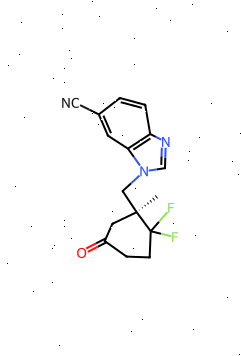 C[C@@]1(Cn2cnc3ccc(C#N)cc32)CC(=O)CCC1(F)F